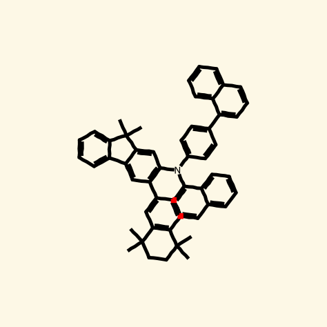 CC1(C)CCC(C)(C)c2cc(-c3cc4c(cc3N(c3ccc(-c5cccc6ccccc56)cc3)c3cccc5ccccc35)C(C)(C)c3ccccc3-4)ccc21